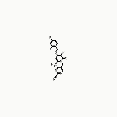 Cc1cc(OCc2ccc(F)cc2F)c(Br)c(=O)n1Cc1cnc(C#N)nc1